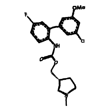 COc1cc(Cl)cc(-c2cc(F)ccc2NC(=O)OC[C@@H]2CCN(C)C2)c1